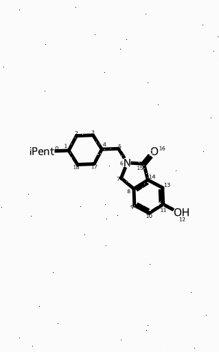 CCCC(C)C1CCC(CN2Cc3ccc(O)cc3C2=O)CC1